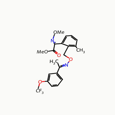 CO/N=C(/C(=O)OC)c1cccc(C)c1CO/N=C(\C)c1cccc(OC(F)(F)F)c1